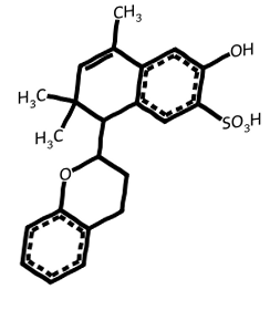 CC1=CC(C)(C)C(C2CCc3ccccc3O2)c2cc(S(=O)(=O)O)c(O)cc21